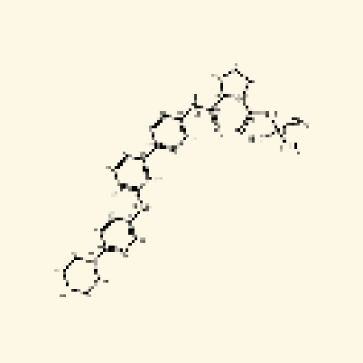 CC(C)(C)OC(=O)N1CCCC1C(=O)Nc1ccc(-c2ccnc(Nc3ccc(N4CCOCC4)cc3)n2)cc1